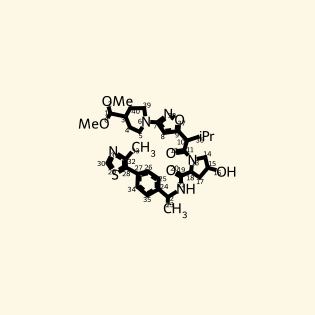 COC(OC)C1CCN(c2cc(C(C(=O)N3CC(O)CC3C(=O)NC(C)c3ccc(-c4scnc4C)cc3)C(C)C)on2)CC1